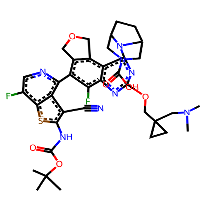 CN(C)CC1(COc2nc(N3C4CCC3CN(C(=O)O)C4)c3c4c(c(-c5ncc(F)c6sc(NC(=O)OC(C)(C)C)c(C#N)c56)c(F)c3n2)COC4)CC1